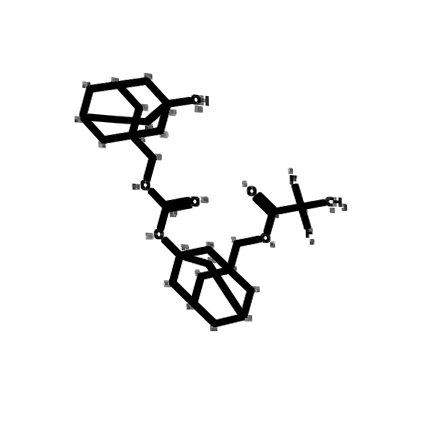 CC(F)(F)C(=O)OCC12CC3CC(C1)CC(OC(=O)OCC14CC5CC(CC(O)(C5)C1)C4)(C3)C2